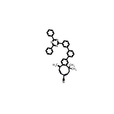 C=C1/C=C\C(C#N)=C/CC(C)(C)c2cc(-c3cccc(-c4cccc(-c5nc(-c6ccccc6)nc(-c6ccccc6)n5)c4)c3)ccc21